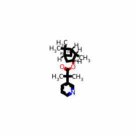 C[C@@H]1[C@@H](OC(=O)C(C)(C)c2cccnc2)C[C@H]2C[C@@H]1C2(C)C